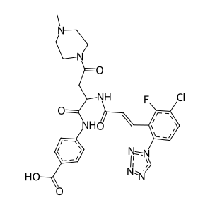 CN1CCN(C(=O)CC(NC(=O)C=Cc2c(-n3cnnn3)ccc(Cl)c2F)C(=O)Nc2ccc(C(=O)O)cc2)CC1